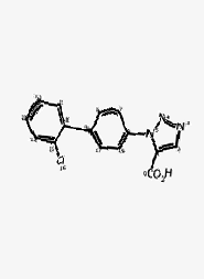 O=C(O)c1cnnn1-c1ccc(-c2ccccc2Cl)cc1